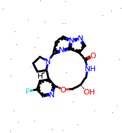 O=C1NC[C@H](O)COc2ncc(F)cc2[C@H]2CCCN2c2ccn3ncc1c3n2